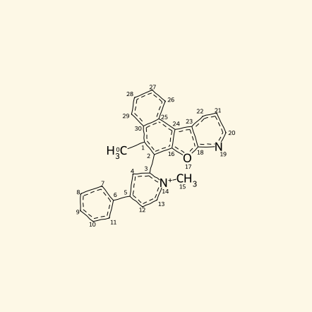 Cc1c(-c2cc(-c3ccccc3)cc[n+]2C)c2oc3ncccc3c2c2ccccc12